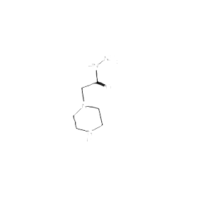 NNC(=O)CN1CCNCC1